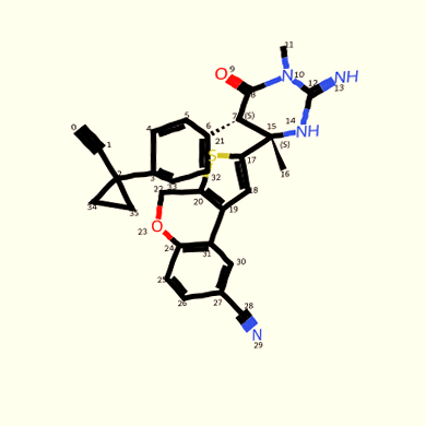 C#CC1(c2ccc([C@@H]3C(=O)N(C)C(=N)N[C@]3(C)c3cc4c(s3)COc3ccc(C#N)cc3-4)cc2)CC1